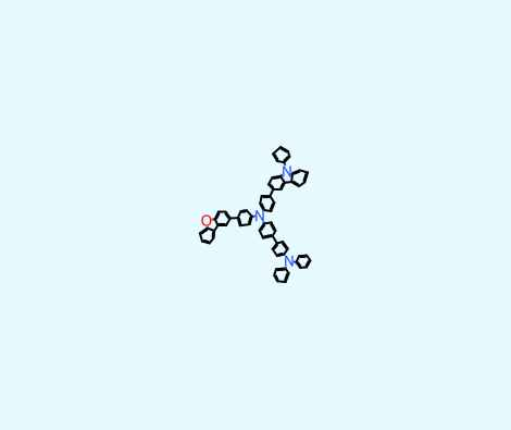 c1ccc(N(c2ccccc2)c2ccc(-c3ccc(N(c4ccc(-c5ccc6oc7ccccc7c6c5)cc4)c4ccc(-c5ccc6c(c5)c5ccccc5n6-c5ccccc5)cc4)cc3)cc2)cc1